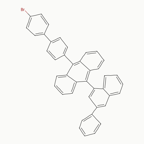 Brc1ccc(-c2ccc(-c3c4ccccc4c(-c4cc(-c5ccccc5)cc5ccccc45)c4ccccc34)cc2)cc1